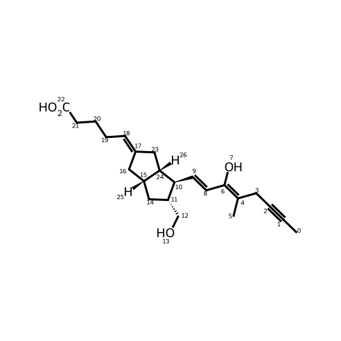 CC#CC/C(C)=C(O)/C=C/[C@H]1[C@H](CO)C[C@@H]2C/C(=C\CCCC(=O)O)C[C@@H]21